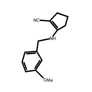 COc1cccc(CNC2=C(C#N)CCC2)c1